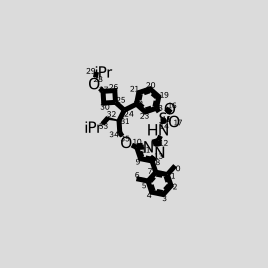 Cc1cccc(C)c1-c1cc2nc(n1)NS(=O)(=O)c1cccc(c1)C(C1CC(OC(C)C)C1)[C@H](CC(C)C)CO2